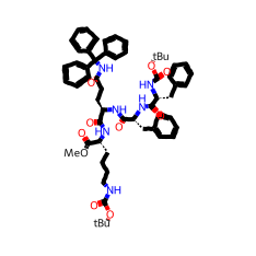 COC(=O)[C@@H](CCCCNC(=O)OC(C)(C)C)NC(=O)[C@@H](CCC(=O)NC(c1ccccc1)(c1ccccc1)c1ccccc1)NC(=O)[C@@H](Cc1ccccc1)NC(=O)[C@@H](Cc1ccccc1)NC(=O)OC(C)(C)C